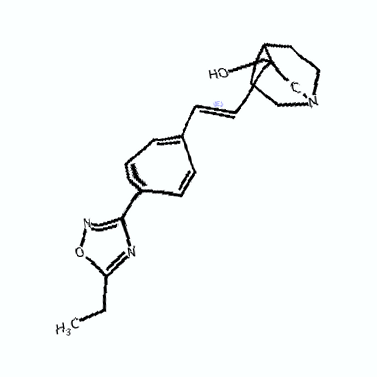 CCc1nc(-c2ccc(/C=C/C3(O)CN4CCC3CC4)cc2)no1